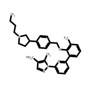 O=C(O)c1cnn(-c2cccc(-c3cccc(C(F)(F)F)c3OCc3ccc(C4CCN(CCCC(F)(F)F)C4)cc3)n2)c1C(F)(F)F